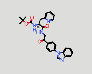 CC(C)(C)OC(=O)N[C@@H](Cc1ccccn1)C(=O)NCC(=O)c1ccc(-n2cnc3ccccc32)cc1